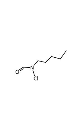 CCCCCN(Cl)C=O